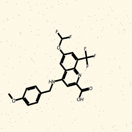 COc1ccc(CNc2cc(C(=O)O)nc3c(C(F)(F)F)cc(OC(F)F)cc23)cc1